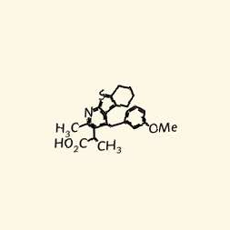 COc1cccc(Cc2c(C(C)C(=O)O)c(C)nc3sc4c(c23)CCCC4)c1